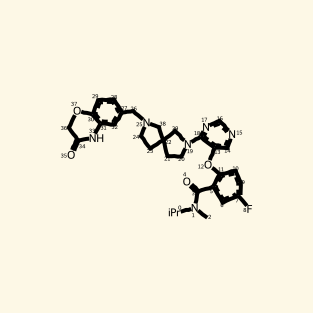 CC(C)N(C)C(=O)c1cc(F)ccc1Oc1cncnc1N1CCC2(CCN(Cc3ccc4c(c3)NC(=O)CO4)C2)C1